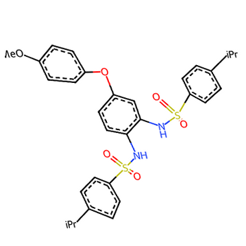 COc1ccc(Oc2ccc(NS(=O)(=O)c3ccc(C(C)C)cc3)c(NS(=O)(=O)c3ccc(C(C)C)cc3)c2)cc1